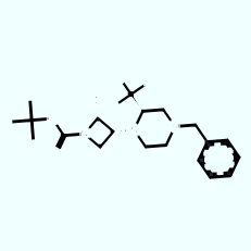 C[C@@H]1[C@H](N2CCN(Cc3ccccc3)C[C@@H]2C(F)(F)F)CN1C(=O)OC(C)(C)C